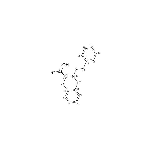 O=C(O)[C@@H]1Cc2ccccc2CN1CCc1ccccc1